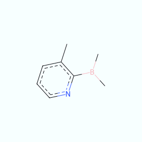 CB(C)c1ncccc1C